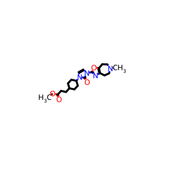 COC(=O)CCC1CCC(n2ccn(-c3nc4c(o3)CCN(C)CC4)c2=O)CC1